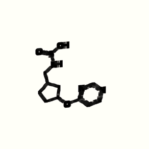 O=S(O)NCC1CCC(Oc2ccncn2)C1